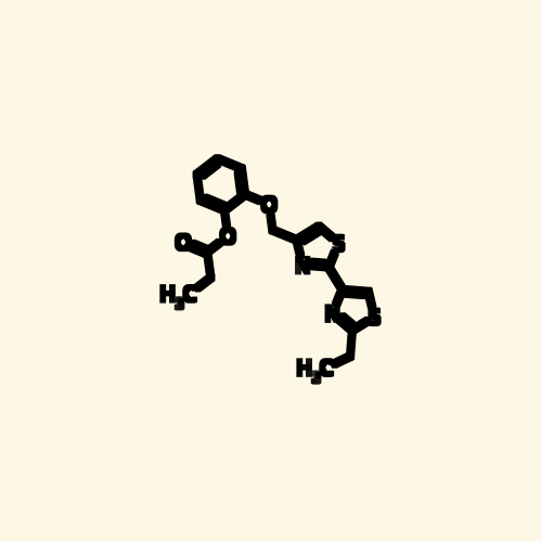 CCC(=O)Oc1ccccc1OCc1csc(-c2csc(CC)n2)n1